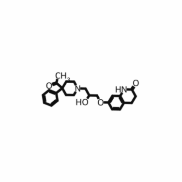 CC(=O)C1(c2ccccc2)CCN(CC(O)COc2ccc3c(c2)NC(=O)CC3)CC1